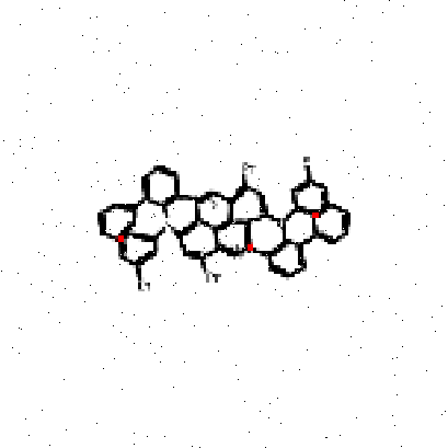 CCc1cccc(N(c2c(C)cccc2-c2ccccc2)c2cc(C(C)C)c3ccc4c(N(c5cccc(CC)c5)c5c(C)cccc5-c5ccccc5)cc(C(C)C)c5ccc2c3c54)c1